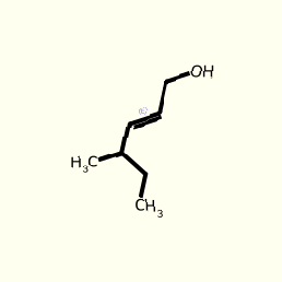 CCC(C)/C=C/CO